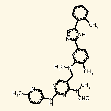 Cc1ccc(Nc2ncc(CN(C)c3cc(-c4ncc(-c5ccccc5C)[nH]4)ccc3C)c(N(C)C=O)n2)cn1